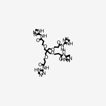 O=C(CCOCC(COCCC(=O)Nc1nnc[nH]1)(COCCC(=O)Nc1nnc[nH]1)COCCC(=O)Nc1nnc[nH]1)Nc1cnn[nH]1